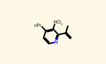 C=C(C)c1nccc(CCC)c1[N+](=O)[O-]